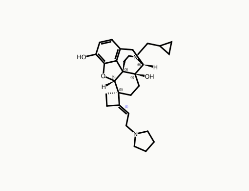 Oc1ccc2c3c1O[C@H]1[C@@]4(CC/C4=C\CN4CCCC4)CC[C@@]4(O)[C@@H](C2)N(CC2CC2)CC[C@]314